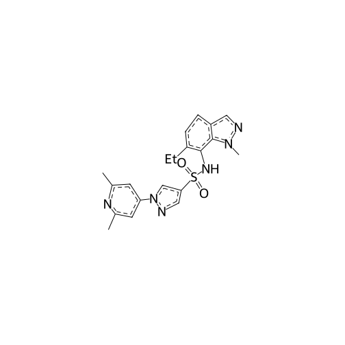 CCc1ccc2cnn(C)c2c1NS(=O)(=O)c1cnn(-c2cc(C)nc(C)c2)c1